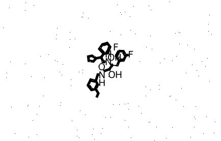 CCc1cccc(CNC[C@@H](O)[C@H](Cc2cc(F)cc(F)c2)NC(=O)C(c2ccccc2O)C2CCCC2)c1